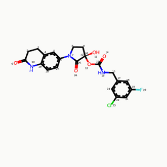 O=C1CCc2cc(N3CC[C@](O)(OC(=O)NCc4cc(F)cc(Cl)c4)C3=O)ccc2N1